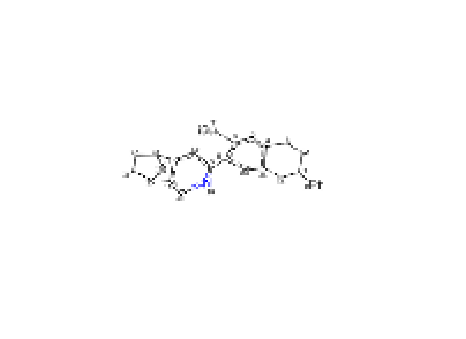 CCC1CCc2cc(C(C)CC)c(-c3cc4c(cn3)C3CCC4C3)cc2C1